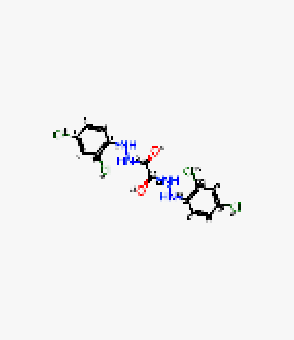 O=C(NNc1ccc(Cl)cc1Cl)C(=O)NNc1ccc(Cl)cc1Cl